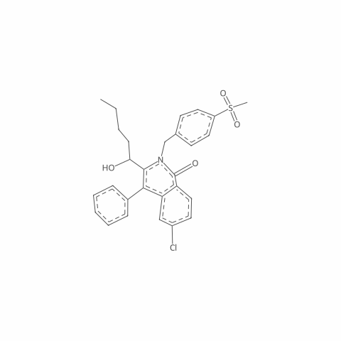 CCCCC(O)c1c(-c2ccccc2)c2cc(Cl)ccc2c(=O)n1Cc1ccc(S(C)(=O)=O)cc1